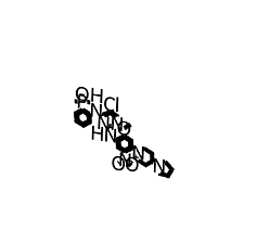 COc1cc(N2CCC(N3CCCC3)CC2)c([N+](=O)[O-])cc1Nc1ncc(Cl)c(Nc2ccccc2P(C)(C)=O)n1